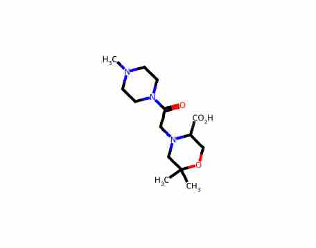 CN1CCN(C(=O)CN2CC(C)(C)OCC2C(=O)O)CC1